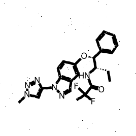 CC[C@H](NC(=O)C(C)(F)F)[C@H](Oc1ccc2c(cnn2-c2cn(C)nn2)c1)c1ccccc1